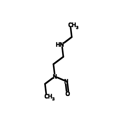 CCNCCN(CC)N=O